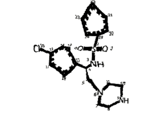 O=S(=O)(N[C@@H](CN1CCNCC1)c1ccc(Cl)cc1)c1ccccc1